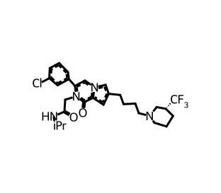 CC(C)NC(=O)Cn1c(-c2cccc(Cl)c2)cn2cc(CCCCN3CCC[C@@H](C(F)(F)F)C3)cc2c1=O